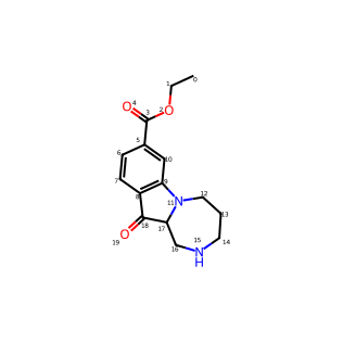 CCOC(=O)c1ccc2c(c1)N1CCCNCC1C2=O